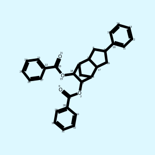 O=C(OC1C2CC(C3CC(c4ccccc4)CC32)C1OC(=O)c1ccccc1)c1ccccc1